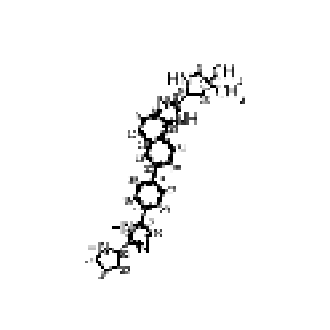 CS1(C)CN[C@H](c2nc3ccc4cc(-c5ccc(-c6cnc([C@@H]7CCCN7)[nH]6)cc5)ccc4c3[nH]2)C1